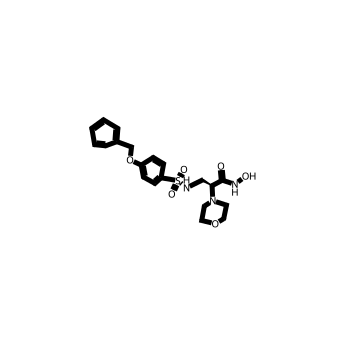 O=C(NO)[C@H](CNS(=O)(=O)c1ccc(OCc2ccccc2)cc1)N1CCOCC1